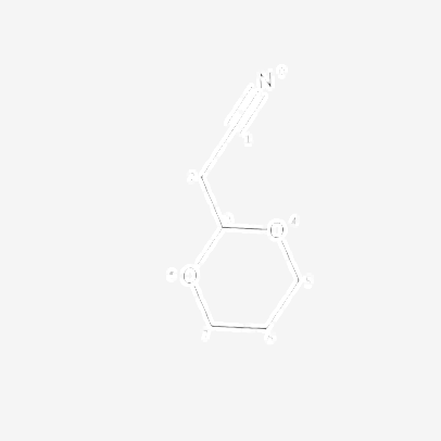 N#CCC1OCCCO1